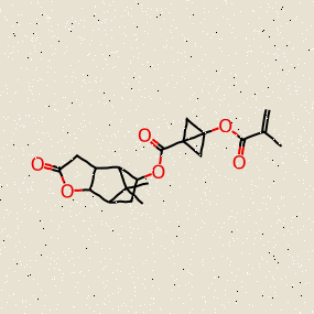 C=C(C)C(=O)OC12CC1(C(=O)OC1CC3C4OC(=O)CC4C1C3(C)C)C2